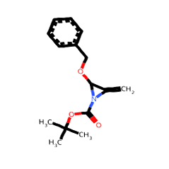 C=C1C(OCc2ccccc2)N1C(=O)OC(C)(C)C